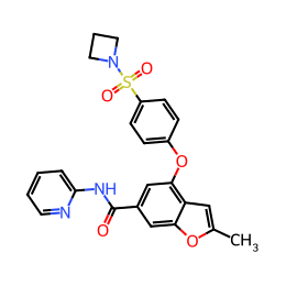 Cc1cc2c(Oc3ccc(S(=O)(=O)N4CCC4)cc3)cc(C(=O)Nc3ccccn3)cc2o1